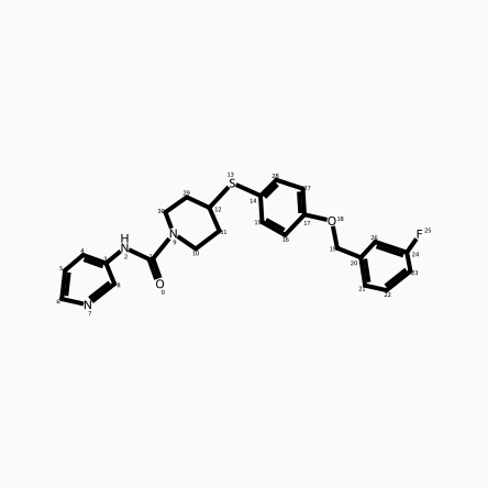 O=C(Nc1cccnc1)N1CCC(Sc2ccc(OCc3cccc(F)c3)cc2)CC1